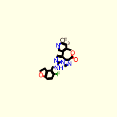 O=C1OCc2cc(C(F)(F)F)ncc2-c2cnc(NCc3c(F)ccc4c3CCO4)n3cnc1c23